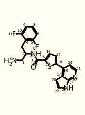 NCC(Cc1c(F)cccc1F)NC(=O)c1ccc(-c2ccnc3[nH]ccc23)s1